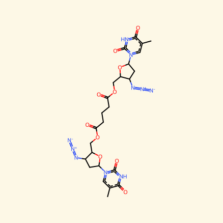 Cc1cn(C2CC(N=[N+]=[N-])C(COC(=O)CCCC(=O)OCC3OC(n4cc(C)c(=O)[nH]c4=O)CC3N=[N+]=[N-])O2)c(=O)[nH]c1=O